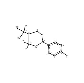 Cc1cnc(N2CCC(C(C)(C)C)C(C)(C)C2)cn1